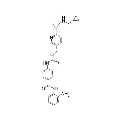 Nc1ccccc1NC(=O)c1ccc(NC(=O)OCc2ccc(C3CC3NCC3CC3)nc2)cc1